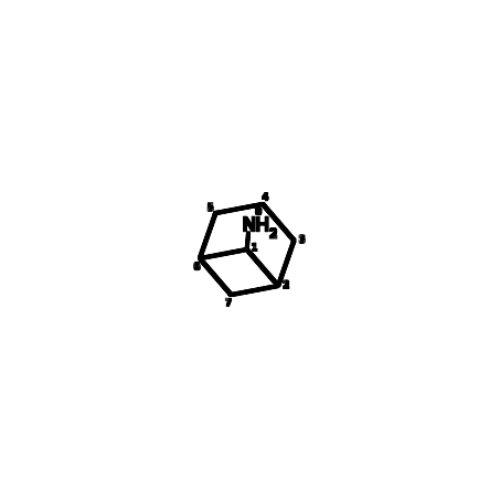 NC1C2CCCC1C2